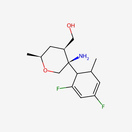 CC1C=C(F)C=C(F)C1[C@]1(N)CO[C@@H](C)C[C@H]1CO